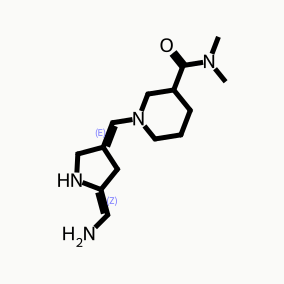 CN(C)C(=O)C1CCCN(/C=C2/CN/C(=C\N)C2)C1